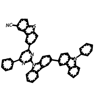 N#Cc1ccc2sc3ccc(-c4cc(-c5ccccc5)nc(-n5c6ccccc6c6cc(-c7ccc8c(c7)c7ccccc7n8-c7ccccc7)ccc65)n4)cc3c2c1